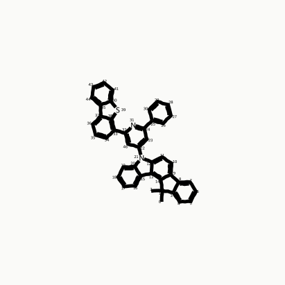 CC1(C)c2ccccc2-c2ccc3c(c21)c1ccccc1n3-c1cc(-c2ccccc2)nc(-c2cccc3c2sc2ccccc23)c1